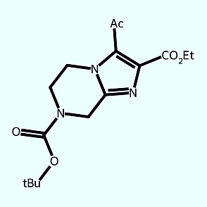 CCOC(=O)c1nc2n(c1C(C)=O)CCN(C(=O)OC(C)(C)C)C2